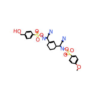 COc1ccc(S(=O)(=O)ON=C(C#N)C2C=C(C(C#N)=NOS(=O)(=O)c3ccc(CO)cc3)CCC2)cc1